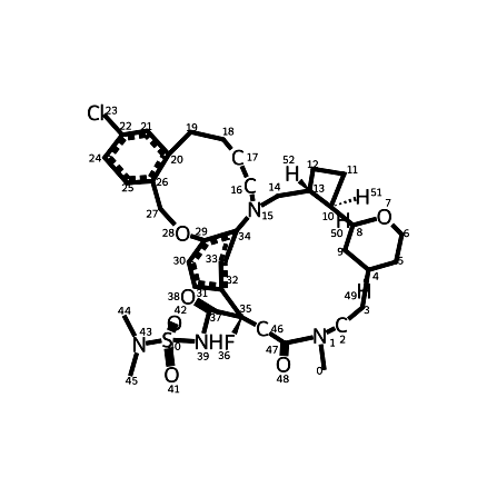 CN1CC[C@H]2CCO[C@@H](C2)[C@@H]2CC[C@H]2CN2CCCCc3cc(Cl)ccc3COc3ccc(cc32)[C@@](F)(C(=O)NS(=O)(=O)N(C)C)CC1=O